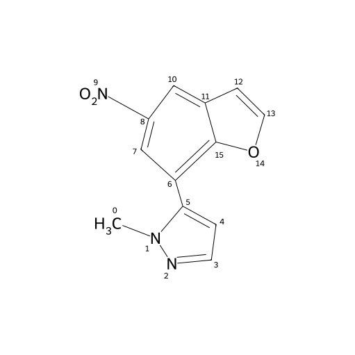 Cn1nccc1-c1cc([N+](=O)[O-])cc2ccoc12